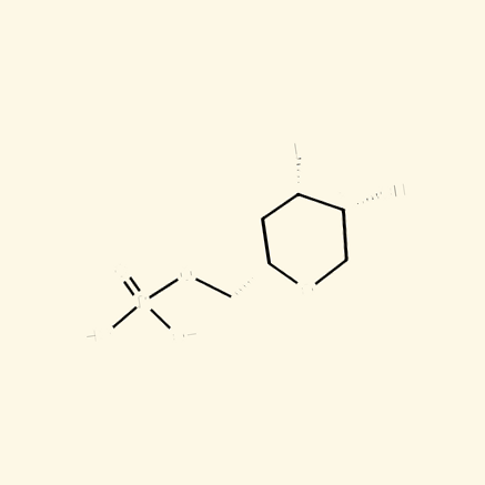 O=P(O)(O)OC[C@@H]1C[C@H](F)[C@H](O)CO1